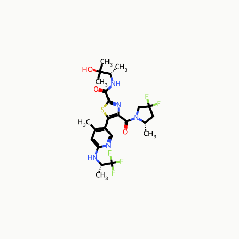 Cc1cc(N[C@@H](C)C(F)(F)F)ncc1-c1sc(C(=O)N[C@@H](C)C(C)(C)O)nc1C(=O)N1CC(F)(F)C[C@@H]1C